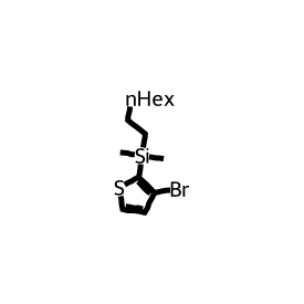 CCCCCCCC[Si](C)(C)c1sccc1Br